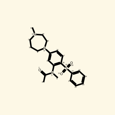 CC(=O)N(C)c1cc(N2CCCN(C)CC2)ccc1S(=O)(=O)c1ccccc1